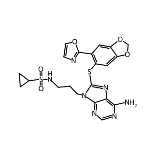 Nc1ncnc2c1nc(Sc1cc3c(cc1-c1ncco1)OCO3)n2CCCNS(=O)(=O)C1CC1